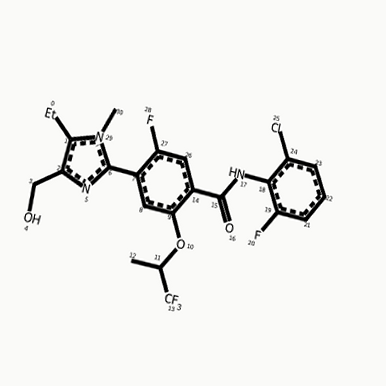 CCc1c(CO)nc(-c2cc(OC(C)C(F)(F)F)c(C(=O)Nc3c(F)cccc3Cl)cc2F)n1C